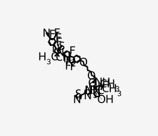 CC(C)(C)[C@H](NC(=O)COCCCCOc1ccc(-c2ncc(N3C(=S)N(c4ccc(C#N)c(C(F)(F)F)c4F)CC3(C)C)cc2F)c(C(F)(F)F)c1)C(=O)N1C[C@H](O)C[C@H]1c1nc(-c2cncs2)c[nH]1